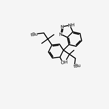 CC(C)(C)CC(C)(C)C1=CC(c2cccc3[nH]nnc23)(C(C)(C)CC(C)(C)C)C(O)C=C1